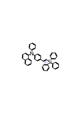 C(=C\[Si](c1ccccc1)(c1ccccc1)c1ccccc1)/c1ccc(N(c2ccccc2)c2cccc3ccccc23)cc1